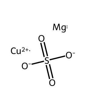 O=S(=O)([O-])[O-].[Cu+2].[Mg]